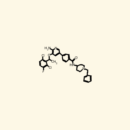 CC(Oc1cc(-c2ccc(C(=O)NC3CCN(Cc4ccccc4)CC3)cc2)cnc1N)c1c(Cl)ccc(F)c1Cl